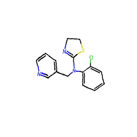 Clc1ccccc1N(Cc1cccnc1)C1=NCCS1